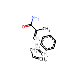 C=C.C=C(C)C(N)=O.C=CC.c1ccccc1